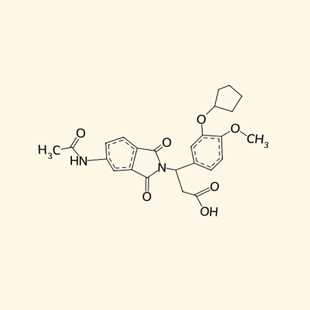 COc1ccc(C(CC(=O)O)N2C(=O)c3ccc(NC(C)=O)cc3C2=O)cc1OC1CCCC1